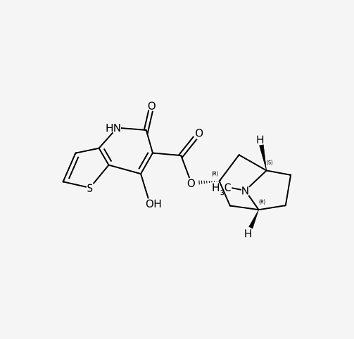 CN1[C@@H]2CC[C@H]1C[C@@H](OC(=O)c1c(O)c3sccc3[nH]c1=O)C2